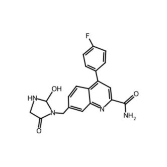 NC(=O)c1cc(-c2ccc(F)cc2)c2ccc(CN3C(=O)CNC3O)cc2n1